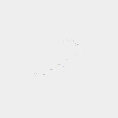 CCCCCC1CC1CC1CC1CCCCCCCCOCC(COCCCCCC(=O)OC)N(C)C